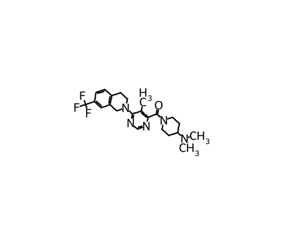 Cc1c(C(=O)N2CCC(N(C)C)CC2)ncnc1N1CCc2ccc(C(F)(F)F)cc2C1